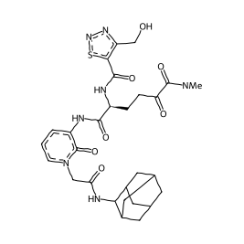 CNC(=O)C(=O)CC[C@H](NC(=O)c1snnc1CO)C(=O)Nc1cccn(CC(=O)NC2C3CC4CC(C3)CC2C4)c1=O